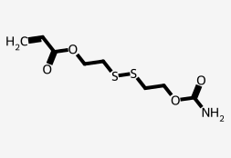 C=CC(=O)OCCSSCCOC(N)=O